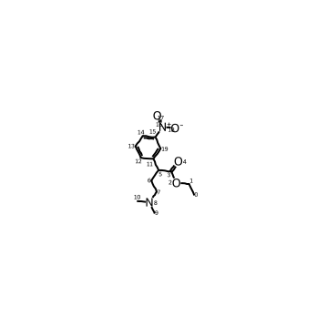 CCOC(=O)C(CCN(C)C)c1cccc([N+](=O)[O-])c1